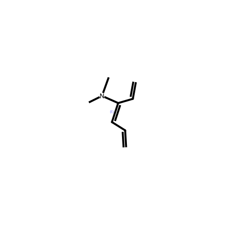 C=C/C=C(\C=C)N(C)C